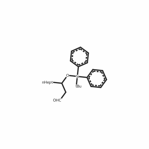 CCCCCCCC(CC=O)O[Si](c1ccccc1)(c1ccccc1)C(C)(C)C